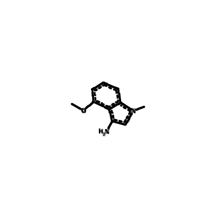 COc1cccc2c1c(N)cn2C